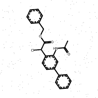 CC(=O)Nc1cc(-c2ccccc2)ccc1C(Cl)C(=O)OCc1ccccc1